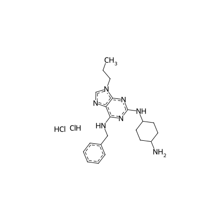 CCCn1cnc2c(NCc3ccccc3)nc(NC3CCC(N)CC3)nc21.Cl.Cl